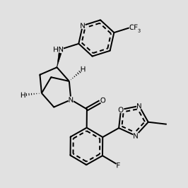 Cc1noc(-c2c(F)cccc2C(=O)N2C[C@H]3C[C@@H](Nc4ccc(C(F)(F)F)cn4)[C@@H]2C3)n1